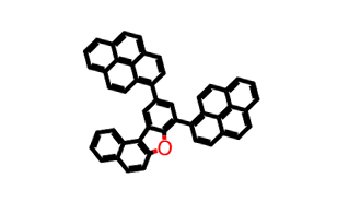 c1ccc2c(c1)ccc1oc3c(-c4ccc5ccc6cccc7ccc4c5c67)cc(-c4ccc5ccc6cccc7ccc4c5c67)cc3c12